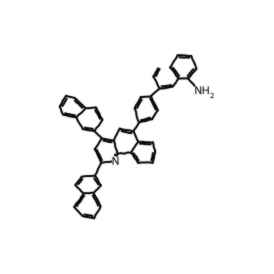 C=C/C(=C\c1ccccc1N)c1ccc(-c2cc3c(-c4ccc5ccccc5c4)cc(-c4ccc5ccccc5c4)nc3c3ccccc23)cc1